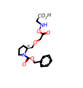 O=C(O)CNOC(=O)COC[C@@H]1CCCN1C(=O)OCc1ccccc1